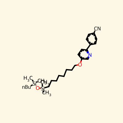 CCCC[Si](C)(C)O[Si](C)(C)CCCCCCCCOc1ccc(-c2ccc(C#N)cc2)nc1